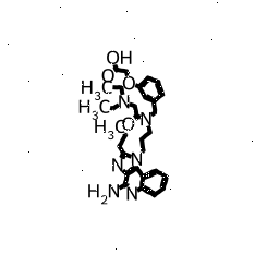 CCCc1nc2c(N)nc3ccccc3c2n1CCCN(Cc1cccc(OCC(=O)O)c1)C(=O)CN(CC)CC